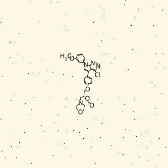 COc1cccc(-n2cc(-c3ccc(OCC(CN4CCOCC4)OC=O)cc3)c3c(Cl)ncnc32)c1